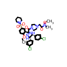 CCOc1ccc(S(=O)(=O)N2CCCCC2)cc1C1(C(=O)N2CCN(CC(=O)N(C)OC)CC2)N[C@H](c2ccc(Cl)cc2)[C@H](c2ccc(Cl)cc2)N1